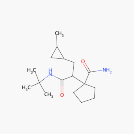 CC1CC1CC(C(=O)NC(C)(C)C)C1(C(N)=O)CCCC1